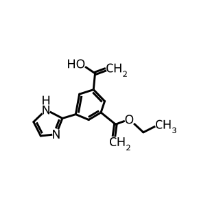 C=C(O)c1cc(C(=C)OCC)cc(-c2ncc[nH]2)c1